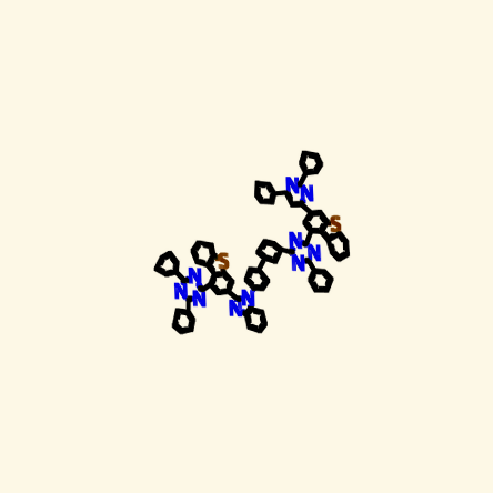 c1ccc(-c2cc(-c3cc(-c4nc(-c5ccccc5)nc(-c5cccc(-c6ccc(-n7c(-c8cc(-c9nc(-c%10ccccc%10)nc(-c%10ccccc%10)n9)c9c(c8)sc8ccccc89)nc8ccccc87)cc6)c5)n4)c4c(c3)sc3ccccc34)nc(-c3ccccc3)n2)cc1